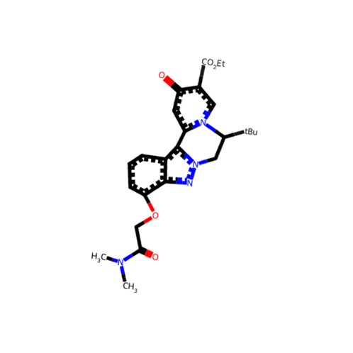 CCOC(=O)c1cn2c(cc1=O)-c1c3cccc(OCC(=O)N(C)C)c3nn1CC2C(C)(C)C